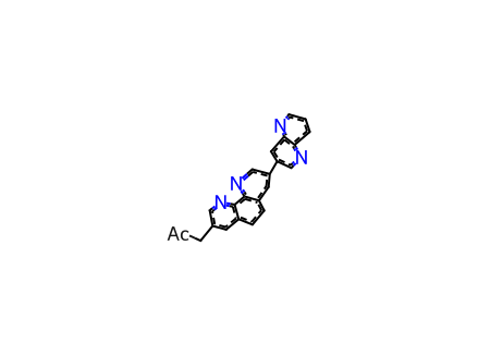 CC(=O)Cc1cnc2c(ccc3cc(-c4cnc5cccnc5c4)cnc32)c1